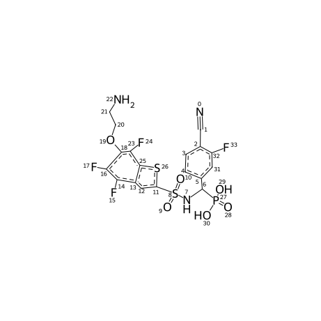 N#Cc1ccc(C(NS(=O)(=O)c2cc3c(F)c(F)c(OCCN)c(F)c3s2)P(=O)(O)O)cc1F